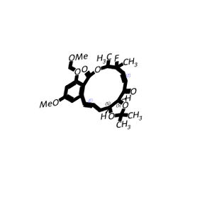 COCOc1cc(OC)cc2c1C(=O)OC(C)C(C)(F)/C=C\C(=O)[C@H]1OC(C)(C)O[C@H]1C/C=C/2